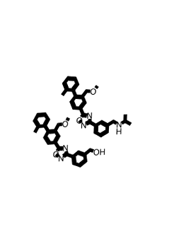 COCc1cc(-c2nc(-c3cccc(CNC(C)C)c3)no2)ccc1-c1ccccc1C.COCc1cc(-c2nc(-c3cccc(CO)c3)no2)ccc1-c1ccccc1C